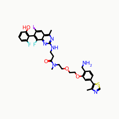 Cc1ncsc1-c1ccc(CN)c(OCCOCCN(C)C(=O)CCNc2nc(C)c3cc(I)c(-c4c(O)cccc4F)c(F)c3n2)c1